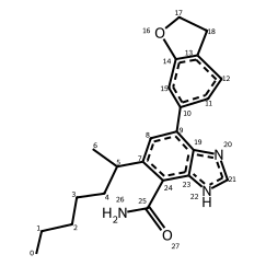 CCCCCC(C)c1cc(-c2ccc3c(c2)OCC3)c2nc[nH]c2c1C(N)=O